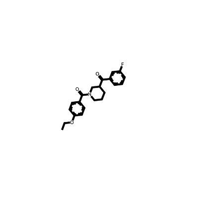 CCOc1ccc(C(=O)N2CCCC(C(=O)c3cccc(F)c3)C2)cc1